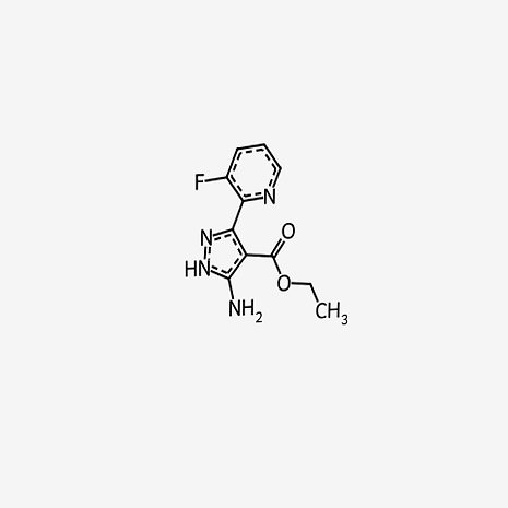 CCOC(=O)c1c(-c2ncccc2F)n[nH]c1N